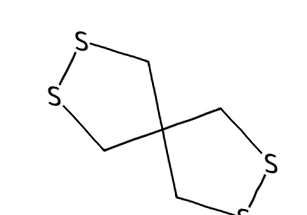 C1SSCC12CSSC2